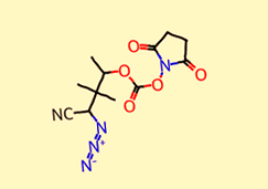 CC(OC(=O)ON1C(=O)CCC1=O)C(C)(C)C(C#N)N=[N+]=[N-]